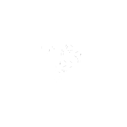 Cc1ccc2c(NC(=O)C3CC34CC4)c(F)ccc2c1Oc1ncccc1-c1ccnc(NC2CCCN(C(=O)O)C2)n1